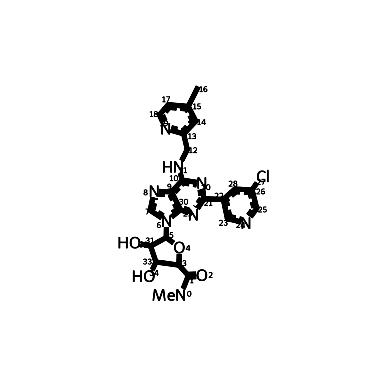 CNC(=O)C1OC(n2cnc3c(NCc4cc(C)ccn4)nc(-c4cncc(Cl)c4)nc32)C(O)C1O